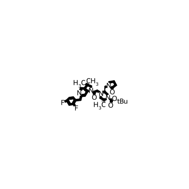 C[C@@H]1CN(CC(=O)N2CC(C)(C)c3cnc(Cc4ccc(F)cc4F)cc32)[C@@H](CN2CCCC2=O)CN1C(=O)OC(C)(C)C